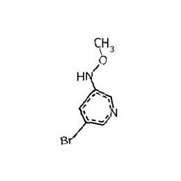 CONc1cncc(Br)c1